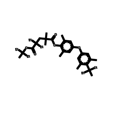 CCC(C)(CC)OC(=O)C(CC)(CC)CC(C)(C)C(=O)Oc1c(C)cc(Oc2cc(C)c(C(C)(CC)CC)c(C)c2)cc1C